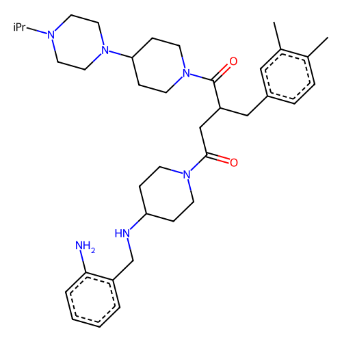 Cc1ccc(CC(CC(=O)N2CCC(NCc3ccccc3N)CC2)C(=O)N2CCC(N3CCN(C(C)C)CC3)CC2)cc1C